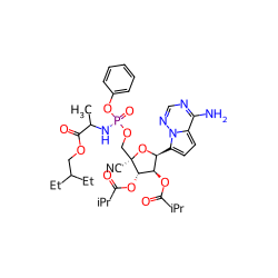 CCC(CC)COC(=O)C(C)N[P@](=O)(OC[C@@]1(C#N)O[C@@H](c2ccc3c(N)ncnn23)[C@@H](OC(=O)C(C)C)[C@@H]1OC(=O)C(C)C)Oc1ccccc1